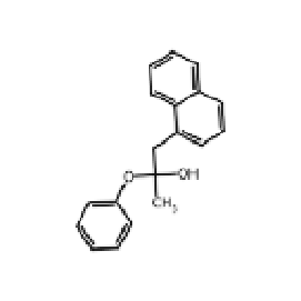 CC(O)(Cc1cccc2ccccc12)Oc1ccccc1